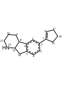 C1=C(c2ccc3c(c2)C2CCCNC2C3)CCC1